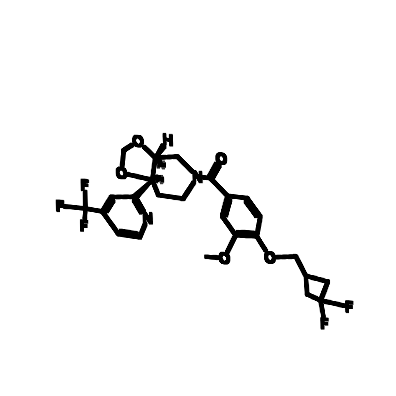 COc1cc(C(=O)N2CC[C@]3(c4cc(C(F)(F)F)ccn4)OCO[C@@H]3C2)ccc1OCC1CC(F)(F)C1